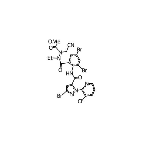 CCN(C(=O)c1cc(Br)cc(Br)c1NC(=O)c1cc(Br)nn1-c1ncccc1Cl)N(CC#N)C(=O)OC